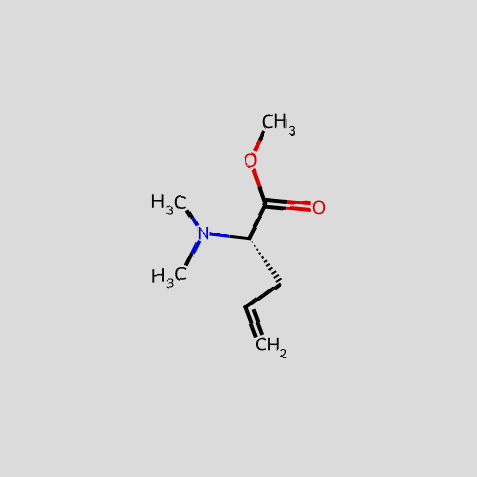 C=CC[C@@H](C(=O)OC)N(C)C